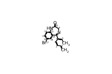 C=C/C=C\C(=C/C)C1=NCC(=O)Nc2ccc(Br)cc21